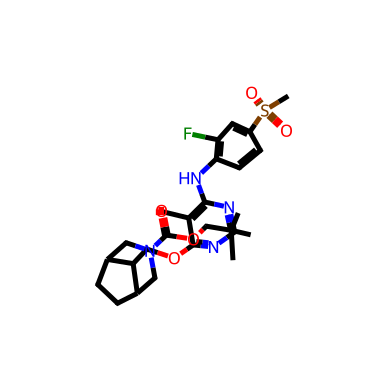 Cc1c(Nc2ccc(S(C)(=O)=O)cc2F)ncnc1OCC1C2CCC1CN(C(=O)OCC(C)(C)C)C2